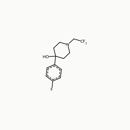 OC1(c2ccc(F)cc2)CCN(CC(F)(F)F)CC1